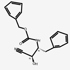 N#C[C@H](O)[C@@H](Cc1ccccc1)NC(=O)OCc1ccccc1